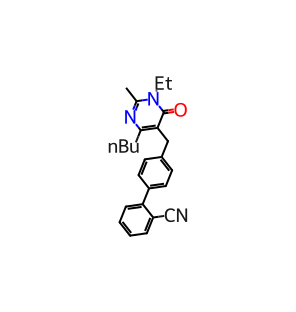 CCCCc1nc(C)n(CC)c(=O)c1Cc1ccc(-c2ccccc2C#N)cc1